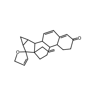 C=CCC12CCC3C4CCC(=O)C=C4C=CC3C1C1CC1C21C=CCO1